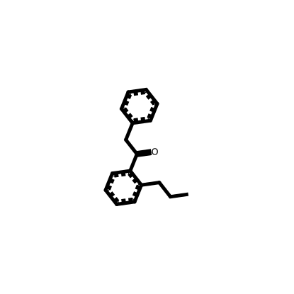 CCCc1ccccc1C(=O)Cc1ccccc1